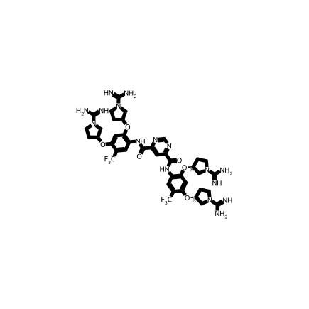 N=C(N)N1CCC(Oc2cc(OC3CCN(C(=N)N)C3)c(C(F)(F)F)cc2NC(=O)c2cc(C(=O)Nc3cc(C(F)(F)F)c(O[C@@H]4CCN(C(=N)N)C4)cc3O[C@@H]3CCN(C(=N)N)C3)ncn2)C1